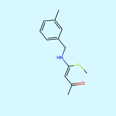 CSC(=CC(C)=O)NCc1cccc(C)c1